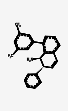 N[C@H]1c2c(cccc2-c2cc(C(F)(F)F)cc(C(F)(F)F)c2)C=C[C@@H]1c1ccccc1